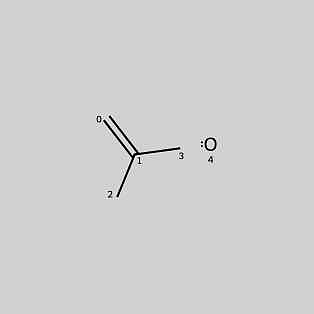 C=C(C)C.[O]